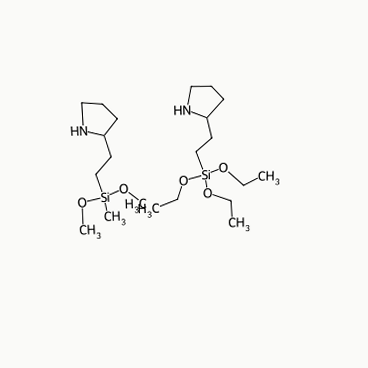 CCO[Si](CCC1CCCN1)(OCC)OCC.CO[Si](C)(CCC1CCCN1)OC